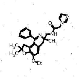 CCOc1cc2c(c3c1OC(C)(C)C3)C(c1ccccc1)=NC(C)(CNC(=O)Cn1ccnc1)C2